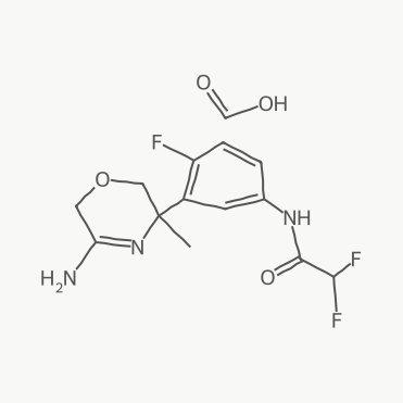 CC1(c2cc(NC(=O)C(F)F)ccc2F)COCC(N)=N1.O=CO